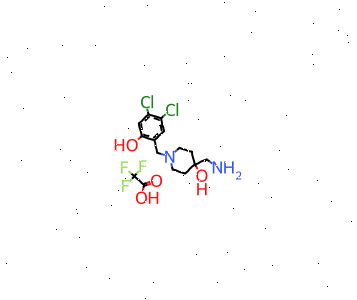 NCC1(O)CCN(Cc2cc(Cl)c(Cl)cc2O)CC1.O=C(O)C(F)(F)F